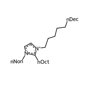 CCCCCCCCCCCCCCC[n+]1ccn(CCCCCCCCC)c1CCCCCCCC